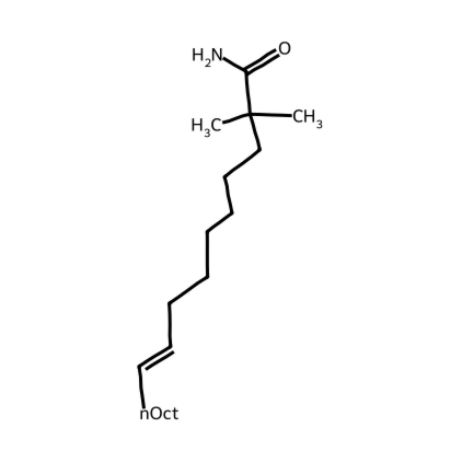 CCCCCCCCC=CCCCCCCC(C)(C)C(N)=O